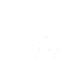 Cn1c(=O)c2c(-c3ccccc3)n3c(c2n(C)c1=O)[C@H](c1nc(Cl)cs1)CC3